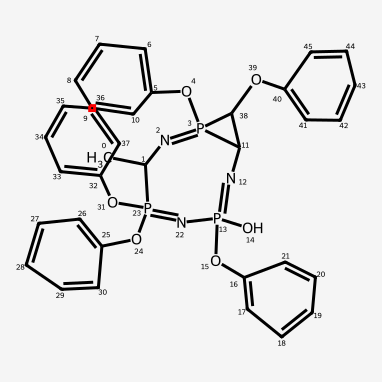 CC1N=P2(Oc3ccccc3)C(N=P(O)(Oc3ccccc3)N=P1(Oc1ccccc1)Oc1ccccc1)C2Oc1ccccc1